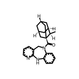 C[C@@H]1[C@@H]2C[C@H]3C[C@@H](C2)C[C@]1(C(=O)N1Cc2cccnc2Nc2ccccc21)C3